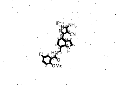 COc1ccc(F)cc1C(=O)NCc1ccc(-c2nn(C(C)C)c(N)c2C#N)c2cc[nH]c12